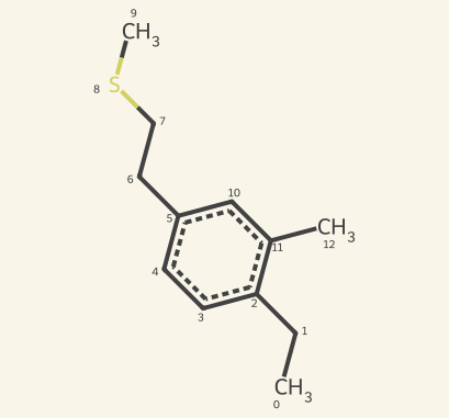 CCc1ccc(CCSC)cc1C